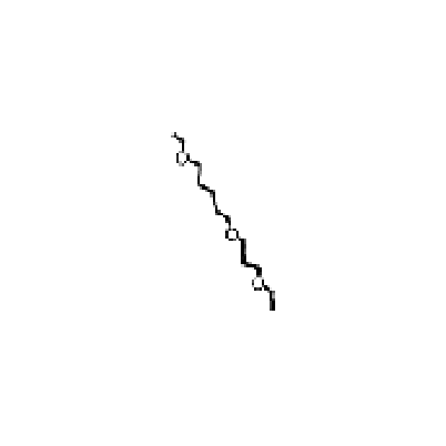 CCOCCCCCOCCCOCC